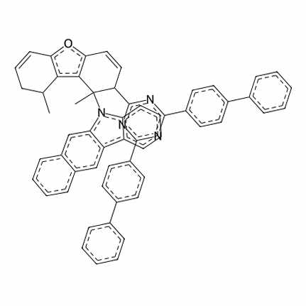 CC1CC=Cc2oc3c(c21)C(C)(n1c2ccccc2c2cc4ccccc4cc21)C(c1nc(-c2ccc(-c4ccccc4)cc2)nc(-c2ccc(-c4ccccc4)cc2)n1)C=C3